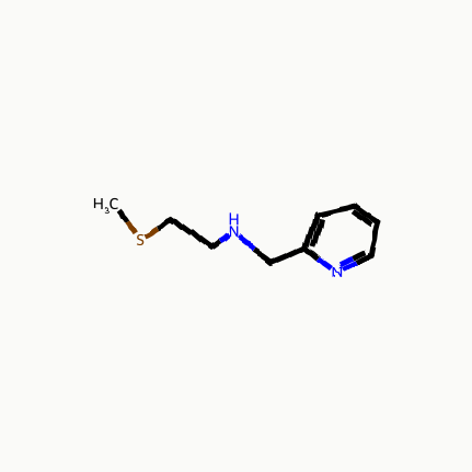 CSCCNCc1ccccn1